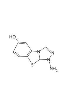 NN1N=CN2c3cc(O)ccc3SC12